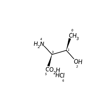 C[C@@H](O)[C@H](N)C(=O)O.Cl